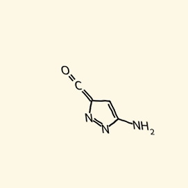 NC1=CC(=C=O)N=N1